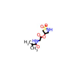 C=C(C)C(=O)NCC(=O)OC1CNS(=O)(=O)C1